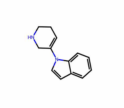 C1=C(n2ccc3ccccc32)CNCC1